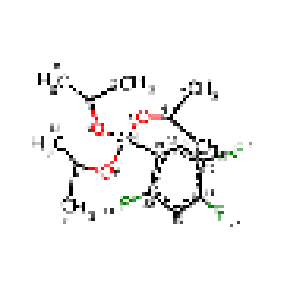 CC(C)O[Si](OC(C)C)(OC(C)C)c1cc(F)c(F)cc1F